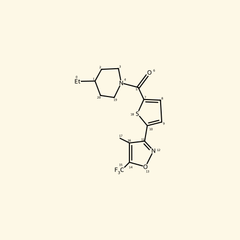 CCC1CCN(C(=O)c2ccc(-c3noc(C(F)(F)F)c3C)s2)CC1